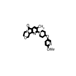 COc1ccc(OC2CCN(c3nc4c(cc3C)C(=O)N3CCOCC43)CC2)cn1